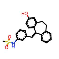 CS(=O)(=O)Nc1cccc(C=C2c3ccccc3CCc3cc(O)ccc32)c1